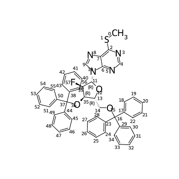 CSc1ncnc2c1ncn2[C@@H]1O[C@H](COC(c2ccccc2)(c2ccccc2)c2ccccc2)[C@@H](OC(c2ccccc2)(c2ccccc2)c2ccccc2)[C@H]1F